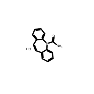 Cl.NC(=O)N1c2ccccc2C=Cc2ccccc21